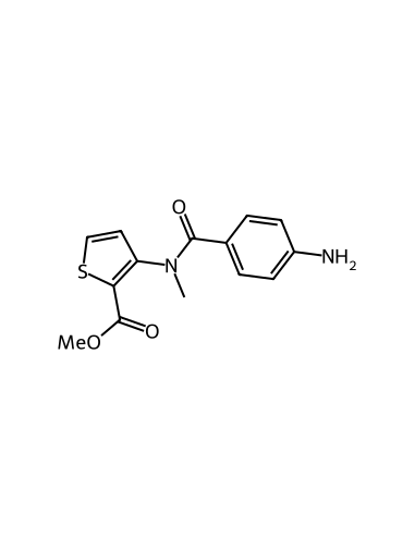 COC(=O)c1sccc1N(C)C(=O)c1ccc(N)cc1